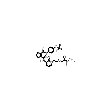 CNC(=O)COCCn1cccc(Nc2nn(-c3ccc(OC(F)(F)F)cc3)c(=O)c3c2CCC3)c1=O